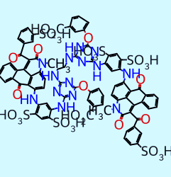 Cn1c(=O)c(C(=O)c2cccc(S(=O)(=O)O)c2)c2c3c(c(Nc4cc(Nc5nc(NCCNc6nc(Nc7cc(Nc8ccc9c%10c8C(=O)c8ccccc8-c%10c(C(=O)c8cccc(S(=O)(=O)O)c8)c(=O)n9C)c(S(=O)(=O)O)cc7S(=O)(=O)O)nc(Oc7cccc(C(=O)O)c7)n6)nc(Oc6cccc(C(=O)O)c6)n5)c(S(=O)(=O)O)cc4S(=O)(=O)O)ccc31)C(=O)c1ccccc1-2